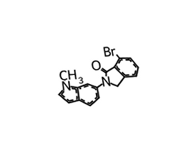 Cn1ccc2ccc(N3Cc4cccc(Br)c4C3=O)cc21